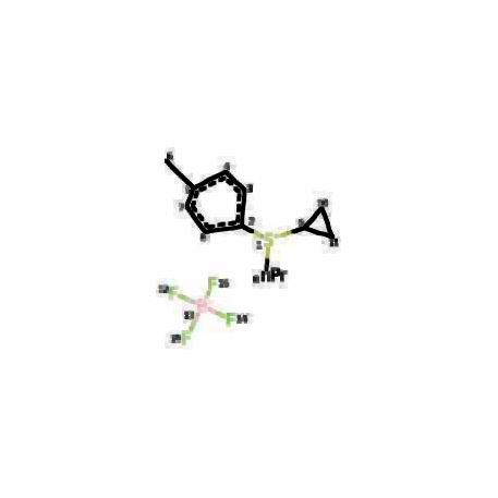 CCC[S+](c1ccc(C)cc1)C1CC1.F[B-](F)(F)F